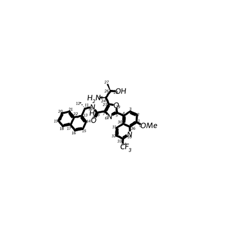 COc1ccc(-c2nc(C(=O)N[C@@H](C)c3cccc4ccccc34)c([C@@H](N)[C@@H](C)O)o2)c2ccc(C(F)(F)F)nc12